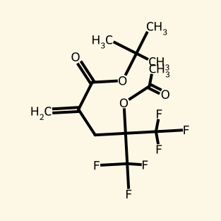 C=C(CC(OC(C)=O)(C(F)(F)F)C(F)(F)F)C(=O)OC(C)(C)C